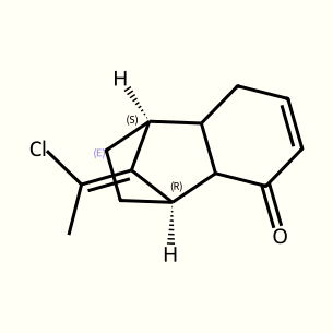 C/C(Cl)=C1/[C@H]2CC[C@@H]1C1C(=O)C=CCC12